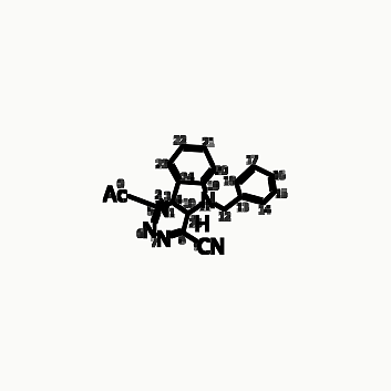 CC(=O)N1CC[C@@]23C1=NN=C(C#N)[C@@H]2N(Cc1ccccc1)c1ccccc13